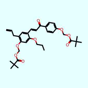 C=CCc1cc(C=CC(=O)c2ccc(OCOC(=O)C(C)(C)C)cc2)c(OCCC)cc1OCOC(=O)C(C)(C)C